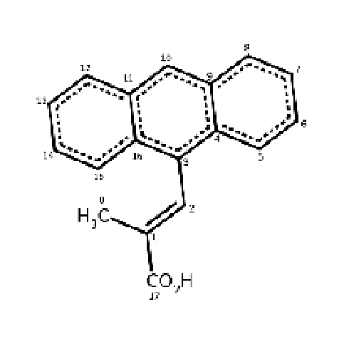 C/C(=C\c1c2ccccc2cc2ccccc12)C(=O)O